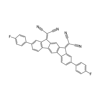 N#CC(C#N)=C1c2cc(-c3ccc(F)cc3)ccc2-c2cc3c(cc21)C(=C(C#N)C#N)c1cc(-c2ccc(F)cc2)ccc1-3